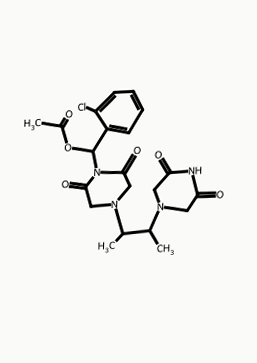 CC(=O)OC(c1ccccc1Cl)N1C(=O)CN(C(C)C(C)N2CC(=O)NC(=O)C2)CC1=O